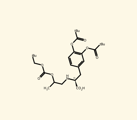 CCC(C)COC(=O)OC(C)CN[C@@H](Cc1ccc(OC(=O)C(C)(C)C)c(OC(=O)C(C)(C)C)c1)C(=O)O